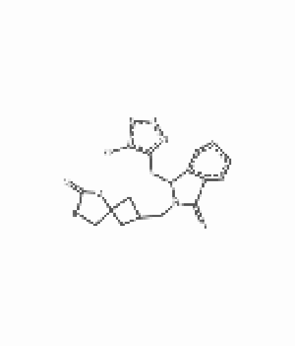 O=C1NCC2(CC(CN3C(=O)c4ccccc4C3Cc3nnsc3Cl)C2)O1